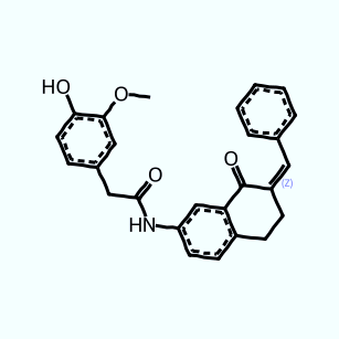 COc1cc(CC(=O)Nc2ccc3c(c2)C(=O)/C(=C\c2ccccc2)CC3)ccc1O